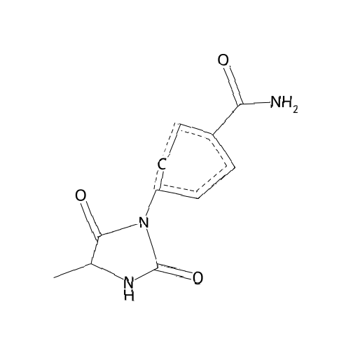 CC1NC(=O)N(c2ccc(C(N)=O)cc2)C1=O